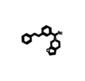 CC(=O)C(c1cccc(CCc2ccccc2)c1)N1CCc2ccoc2C1